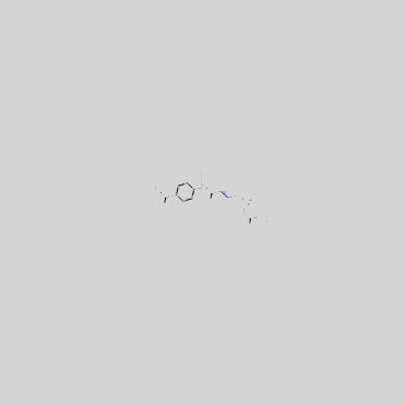 CNC(=O)c1ccc(NC(=O)/C=C/CN(C)CC(=O)OI)cc1